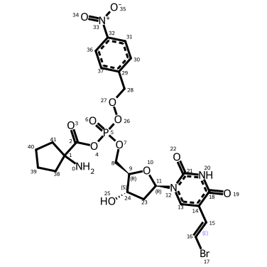 NC1(C(=O)OP(=O)(OC[C@H]2O[C@@H](n3cc(/C=C/Br)c(=O)[nH]c3=O)C[C@@H]2O)OOCc2ccc([N+](=O)[O-])cc2)CCCC1